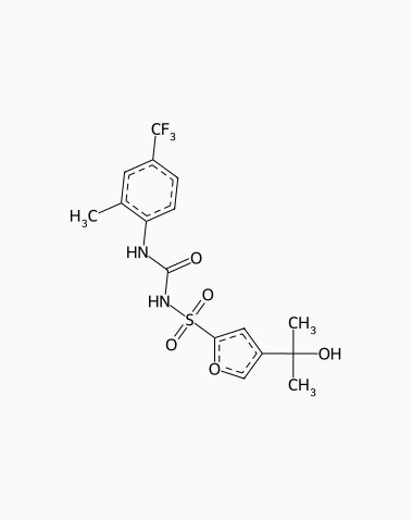 Cc1cc(C(F)(F)F)ccc1NC(=O)NS(=O)(=O)c1cc(C(C)(C)O)co1